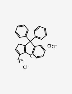 CC1=C(C(c2ccccc2)(c2ccccc2)c2ccccc2)CC=[C]1[Ti+3].[Cl-].[Cl-].[Cl-]